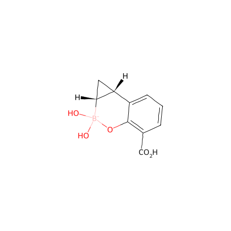 O=C(O)c1cccc2c1O[B-](O)(O)[C@@H]1C[C@H]21